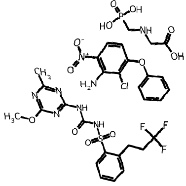 COc1nc(C)nc(NC(=O)NS(=O)(=O)c2ccccc2CCC(F)(F)F)n1.Nc1c([N+](=O)[O-])ccc(Oc2ccccc2)c1Cl.O=C(O)CNCP(=O)(O)O